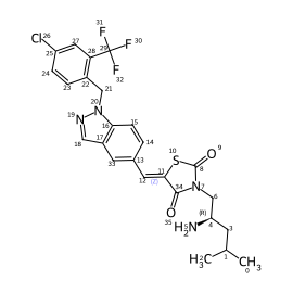 CC(C)C[C@@H](N)CN1C(=O)S/C(=C\c2ccc3c(cnn3Cc3ccc(Cl)cc3C(F)(F)F)c2)C1=O